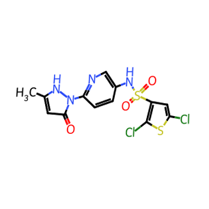 Cc1cc(=O)n(-c2ccc(NS(=O)(=O)c3cc(Cl)sc3Cl)cn2)[nH]1